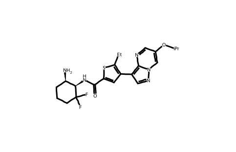 CCc1sc(C(=O)N[C@@H]2[C@H](N)CCCC2(F)F)cc1-c1cnn2cc(OC(C)C)cnc12